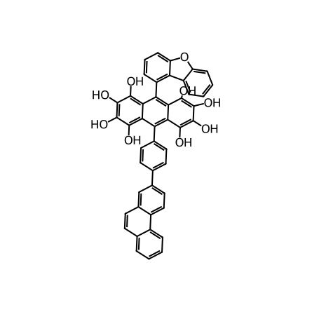 Oc1c(O)c(O)c2c(-c3cccc4oc5ccccc5c34)c3c(O)c(O)c(O)c(O)c3c(-c3ccc(-c4ccc5c(ccc6ccccc65)c4)cc3)c2c1O